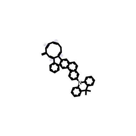 C=C1/C=C\C=C/C/C=C(c2ccc3c(ccc4cc(N5c6ccccc6C(C)(C)c6ccccc65)ccc43)c2)\C(c2ccccc2)=C/1